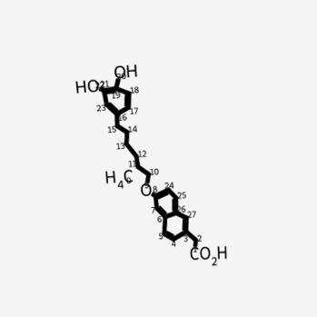 C.O=C(O)Cc1ccc2cc(OCCCCCCc3ccc(O)c(O)c3)ccc2c1